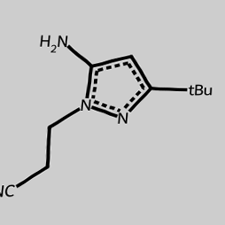 CC(C)(C)c1cc(N)n(CCC#N)n1